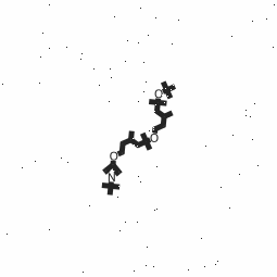 CC(CCOC1CN(C(C)(C)C)C1)CC(C)(C)OCCC(C)CC(C)(C)OC(C)(C)C